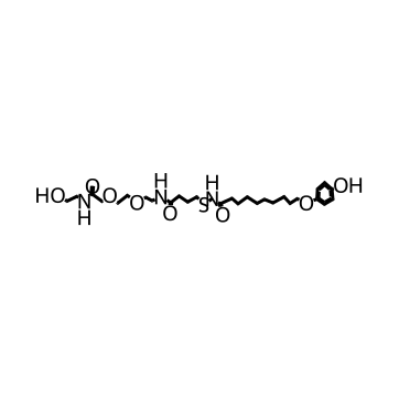 O=C(CCCSNC(=O)CCCCCCCCCOc1ccc(O)cc1)NCCOCCOCC(=O)NCCO